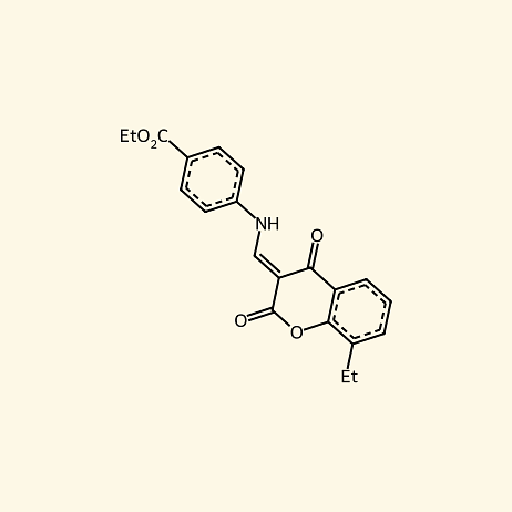 CCOC(=O)c1ccc(NC=C2C(=O)Oc3c(CC)cccc3C2=O)cc1